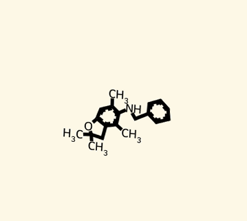 Cc1cc2c(c(C)c1NCc1ccccc1)CC(C)(C)O2